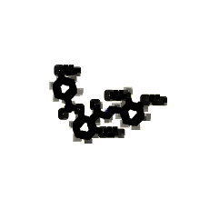 COc1ccc(C(=O)Oc2cccc(OC)c2C(=O)/C=C/c2cccc(OC)c2OC)cc1